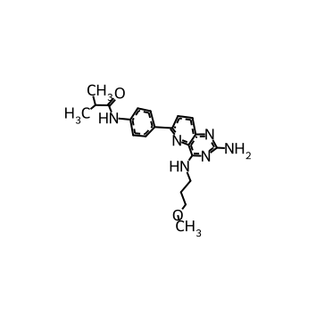 COCCCNc1nc(N)nc2ccc(-c3ccc(NC(=O)C(C)C)cc3)nc12